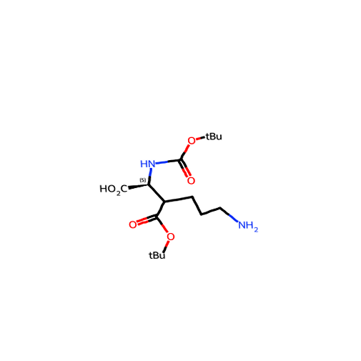 CC(C)(C)OC(=O)N[C@H](C(=O)O)C(CCCN)C(=O)OC(C)(C)C